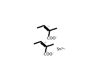 C/C=C(/C)C(=O)[O-].C/C=C(/C)C(=O)[O-].[Sn+2]